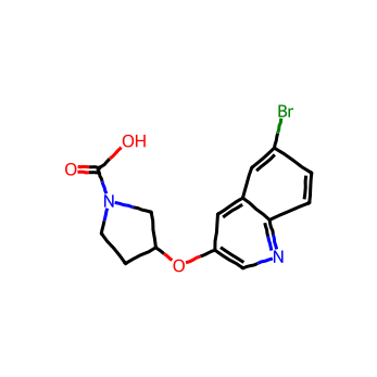 O=C(O)N1CCC(Oc2cnc3ccc(Br)cc3c2)C1